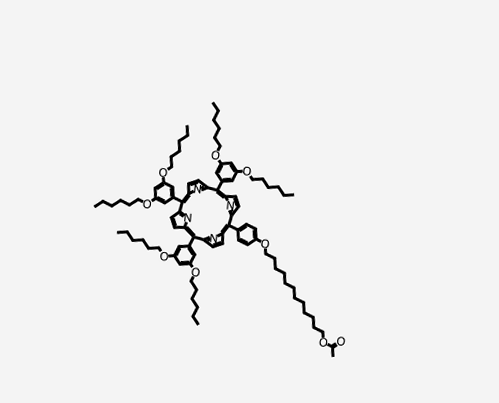 CCCCCCOc1cc(OCCCCCC)cc(C2=C3C=CC(=N3)C(c3cc(OCCCCCC)cc(OCCCCCC)c3)=C3C=CC(=N3)C(c3cc(OCCCCCC)cc(OCCCCCC)c3)=C3C=CC(=N3)C(c3ccc(OCCCCCCCCCCCCOC(C)=O)cc3)=C3C=CC2=N3)c1